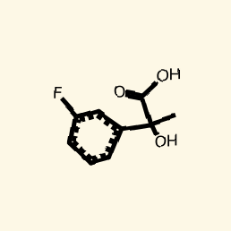 CC(O)(C(=O)O)c1cccc(F)c1